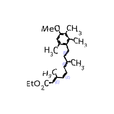 CCOC(=O)/C=C(C)/C=C\C=C(C)\C=C\c1c(C)cc(OC)c(C)c1C